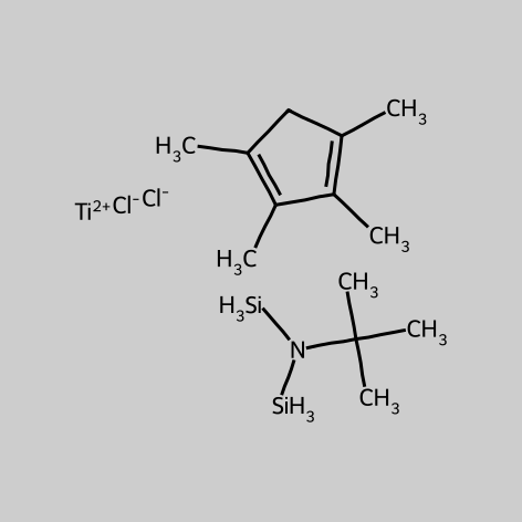 CC(C)(C)N([SiH3])[SiH3].CC1=C(C)C(C)=C(C)C1.[Cl-].[Cl-].[Ti+2]